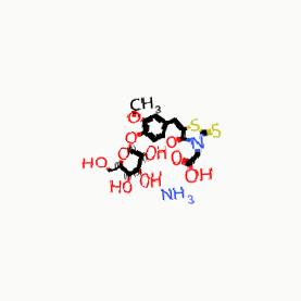 COc1cc(C=C2SC(=S)N(CC(=O)O)C2=O)ccc1O[C@@H]1O[C@H](CO)[C@H](O)[C@H](O)[C@H]1O.N